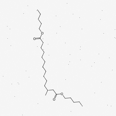 CCCCCOC(=O)CCCCCCCCCCC(C)CC(=O)OCCCCC